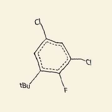 CC(C)(C)c1cc(Cl)cc(Cl)c1F